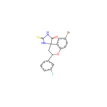 O=C1NC(=S)NC12CC(c1cccc(F)c1)Oc1ccc(Br)cc12